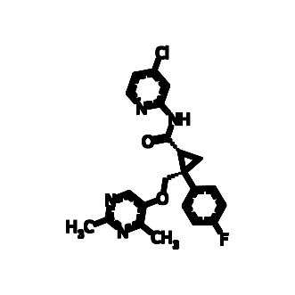 Cc1ncc(OC[C@@]2(c3ccc(F)cc3)C[C@H]2C(=O)Nc2cc(Cl)ccn2)c(C)n1